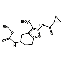 CCOC(=O)c1c(NC(=O)C2CC2)sc2c1CC(NC(=O)OC(C)(C)C)CC2